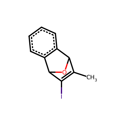 CC1=C(I)C2OC1c1ccccc12